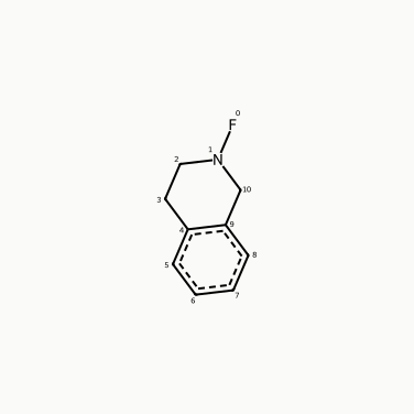 FN1CCc2ccccc2C1